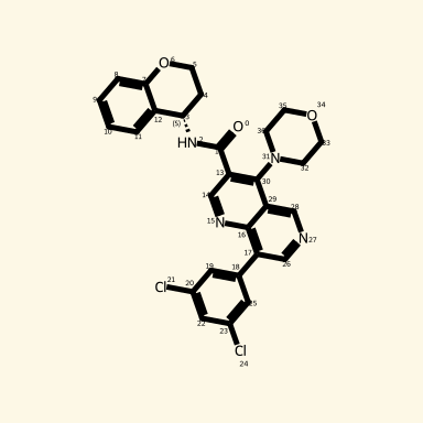 O=C(N[C@H]1CCOc2ccccc21)c1cnc2c(-c3cc(Cl)cc(Cl)c3)cncc2c1N1CCOCC1